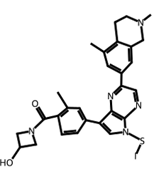 Cc1cc(-c2cn(SI)c3ncc(-c4cc(C)c5c(c4)CN(C)CC5)nc23)ccc1C(=O)N1CC(O)C1